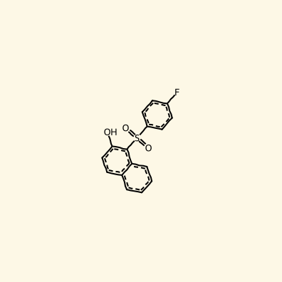 O=S(=O)(c1ccc(F)cc1)c1c(O)ccc2ccccc12